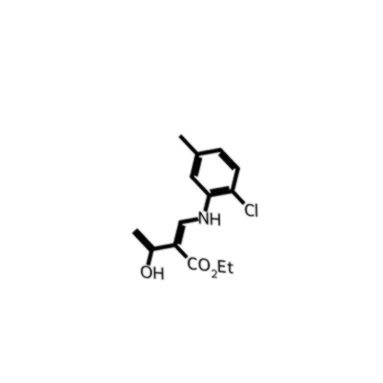 C=C(O)/C(=C/Nc1cc(C)ccc1Cl)C(=O)OCC